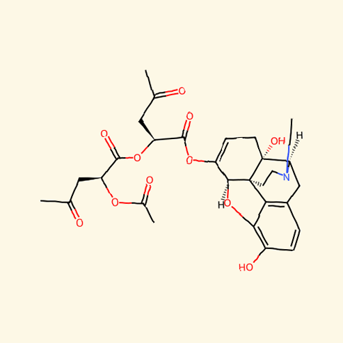 CC(=O)C[C@H](OC(C)=O)C(=O)O[C@@H](CC(C)=O)C(=O)OC1=CC[C@@]2(O)[C@H]3Cc4ccc(O)c5c4[C@@]2(CCN3C)[C@H]1O5